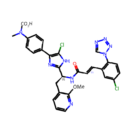 COc1ncccc1C[C@H](NC(=O)/C=C/c1cc(Cl)ccc1-n1cnnn1)c1nc(-c2ccc(N(C)C(=O)O)cc2)c(Cl)[nH]1